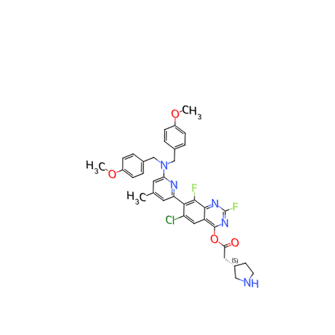 COc1ccc(CN(Cc2ccc(OC)cc2)c2cc(C)cc(-c3c(Cl)cc4c(OC(=O)C[C@@H]5CCNC5)nc(F)nc4c3F)n2)cc1